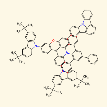 CC(C)(C)c1ccc2c(c1)c1cc(C(C)(C)C)ccc1n2-c1ccc2c(c1)Oc1cc(-c3ccc4c(c3)c3cccc5c6ccccc6n4c53)cc3c1B2c1ccc(-n2c4ccc(C(C)(C)C)cc4c4cc(C(C)(C)C)ccc42)cc1N3c1c(-c2ccccc2)cc(-c2ccccc2)cc1-c1ccccc1